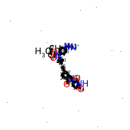 CC(C)(C)OC(=O)N(C1CCC(N=[N+]=[N-])CC1)[C@H]1C[C@@H](C#Cc2ccc3c(c2)CN(C2CCC(=O)NC2=O)C3=O)C1